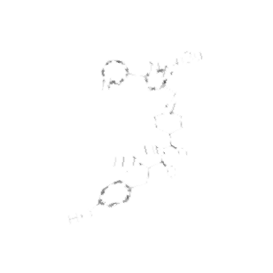 CCCCn1nc(-c2cccnc2)cc1CN1CCC(C(=O)NC(=O)C(N)Cc2ccc(O)cc2)CC1